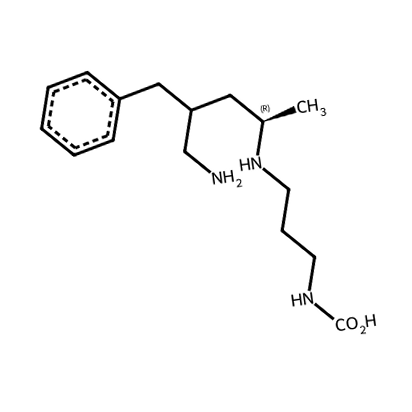 C[C@H](CC(CN)Cc1ccccc1)NCCCNC(=O)O